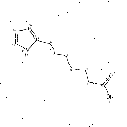 O=C(O)CCCCCCc1n[c]c[nH]1